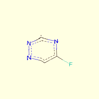 Fc1cnn[c]n1